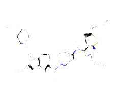 CNc1nc(NC2CCN(Cc3ccc4c(cc(C#N)n4CCN4CCC([S+](C)[O-])CC4)c3C)CC2)c2cc(CC(F)(F)F)sc2n1